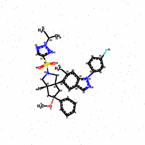 CO[C@]1(c2ccccc2)C[C@@H]2CN(S(=O)(=O)c3cnn(C(C)C)n3)C[C@]2(c2cc3cnn(-c4ccc(F)cc4)c3cc2C)C1